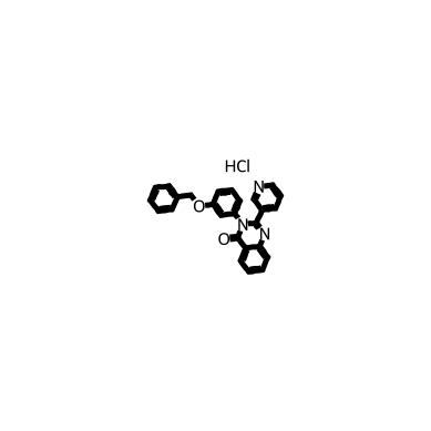 Cl.O=c1c2ccccc2nc(-c2cccnc2)n1-c1cccc(OCc2ccccc2)c1